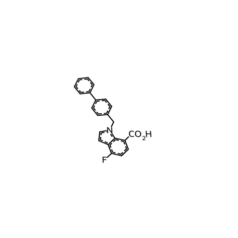 O=C(O)c1ccc(F)c2ccn(Cc3ccc(-c4ccccc4)cc3)c12